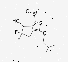 CC(C)COc1sc([S+](C)[O-])c2c1CC(F)(F)C2O